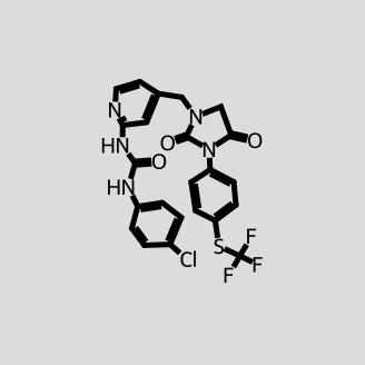 O=C(Nc1ccc(Cl)cc1)Nc1cc(CN2CC(=O)N(c3ccc(SC(F)(F)F)cc3)C2=O)ccn1